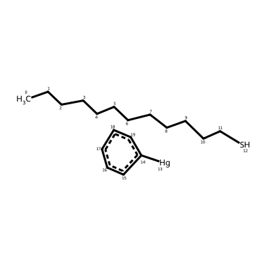 CCCCCCCCCCCCS.[Hg][c]1ccccc1